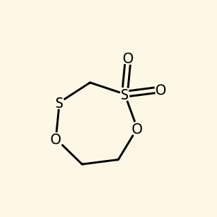 O=S1(=O)CSOCCO1